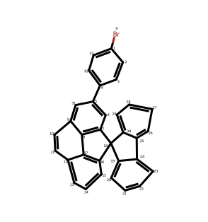 Brc1ccc(-c2cc3c4c(ccc5cccc(c54)C34c3ccccc3-c3ccccc34)c2)cc1